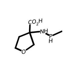 CPNC1(C(=O)O)CCOC1